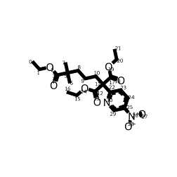 CCOC(=O)C(C)(C)CCCC(C(=O)OCC)(C(=O)OCC)c1ccc([N+](=O)[O-])cn1